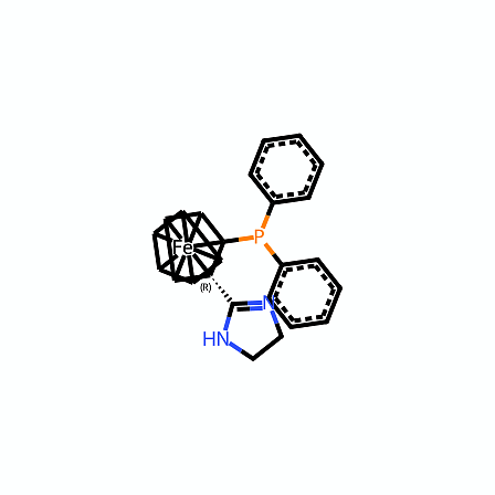 c1ccc(P(c2ccccc2)[C]23[CH]4[CH]5[CH]6[C@@]2(C2=NCCN2)[Fe]54632789[CH]3[CH]2[CH]7[CH]8[CH]39)cc1